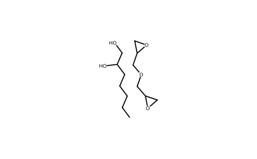 C(OCC1CO1)C1CO1.CCCCCC(O)CO